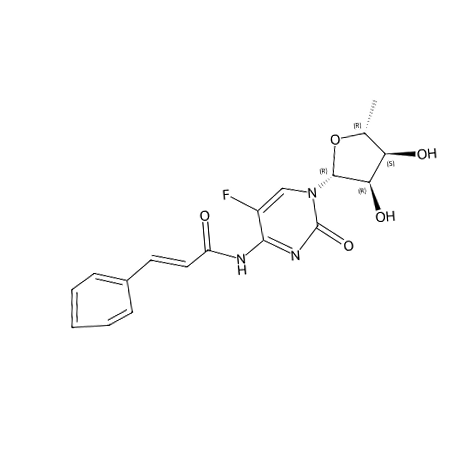 C[C@H]1O[C@@H](n2cc(F)c(NC(=O)C=Cc3ccccc3)nc2=O)[C@H](O)[C@@H]1O